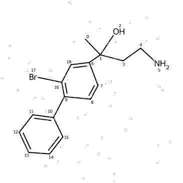 CC(O)(CCN)c1ccc(-c2ccccc2)c(Br)c1